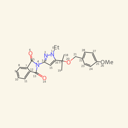 CCn1nc(N2C(=O)c3ccccc3C2=O)cc1C(C)(C)OCc1ccc(OC)cc1